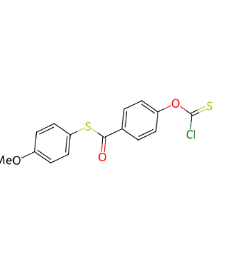 COc1ccc(SC(=O)c2ccc(OC(=S)Cl)cc2)cc1